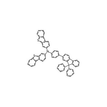 c1ccc(C2(c3ccccc3)c3ccccc3-c3ccc(-c4ccc(N(c5ccc6c(c5)sc5ccccc56)c5ccc6c(c5)sc5ccccc56)cc4)cc32)cc1